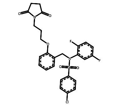 O=C1CCC(=O)N1CCCOc1ccccc1CN(c1cc(F)ccc1F)S(=O)(=O)c1ccc(Cl)cc1